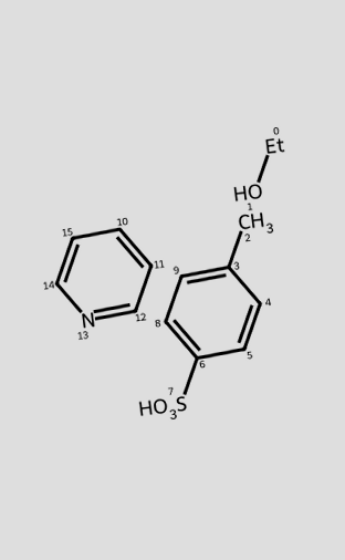 CCO.Cc1ccc(S(=O)(=O)O)cc1.c1ccncc1